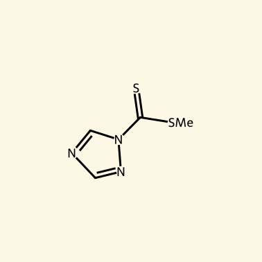 CSC(=S)n1cncn1